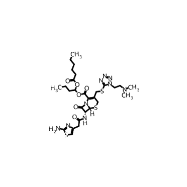 CCCCCC(=O)OC(CCC)OC(=O)C1=C(CSc2nnnn2CCN(C)C)CS[C@@H]2[C@H](NC(=O)Cc3csc(N)n3)C(=O)N12